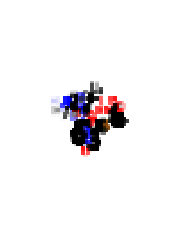 CC(C)C[C@@H](NC(=O)C(C)(C)N)C(=O)NC1Cc2cccc(N3CCCC3=O)c2N(Cc2ccsc2)C1=O.O=C(O)[C@H](O)c1ccccc1